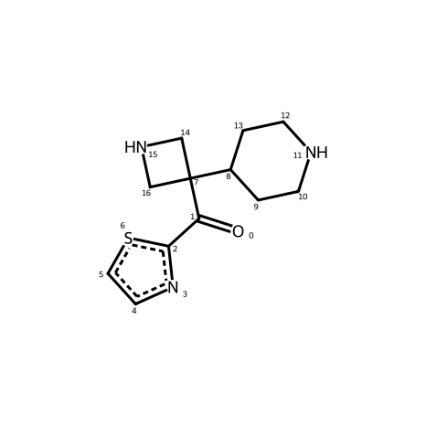 O=C(c1nccs1)C1(C2CCNCC2)CNC1